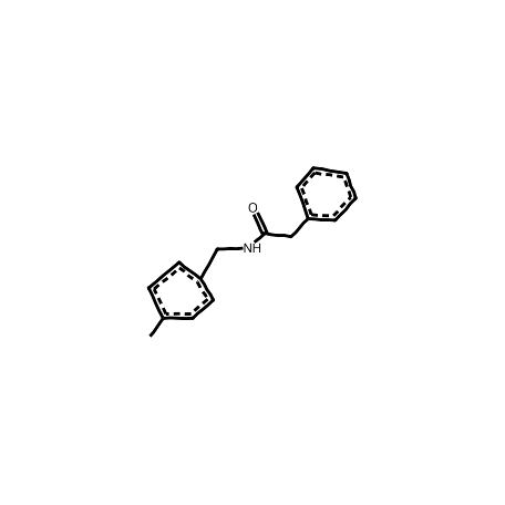 Cc1ccc(CNC(=O)Cc2ccccc2)cc1